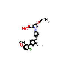 CCCO[C@@H]1C[C@H](CC(=O)O)N(c2ccc(Cc3ccc(-c4cc(OC)ccc4F)cc3C)cc2)C1